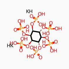 O=P(O)(O)O[C@H]1[C@H](OP(=O)(O)O)[C@@H](OP(=O)(O)O)[C@H](OP(=O)(O)O)[C@@H](OP(=O)(O)O)[C@H]1OP(=O)(O)O.[KH].[KH]